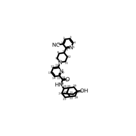 N#Cc1cccnc1C1CCN(c2cccc(C(=O)NC3C4CC5CC3CC(O)(C5)C4)n2)CC1